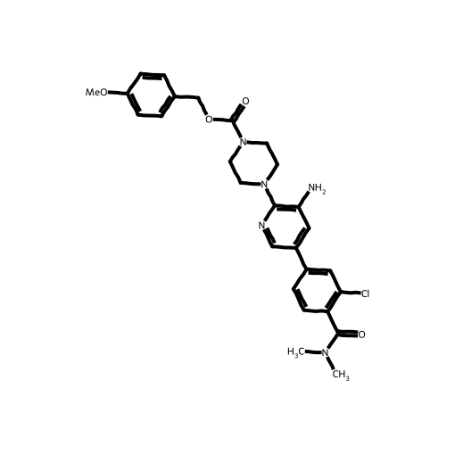 COc1ccc(COC(=O)N2CCN(c3ncc(-c4ccc(C(=O)N(C)C)c(Cl)c4)cc3N)CC2)cc1